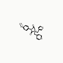 O=C1C[N+](Cc2ccncc2)(Cc2ccsc2)C(=O)N1c1ccc(SC(F)(F)F)cc1